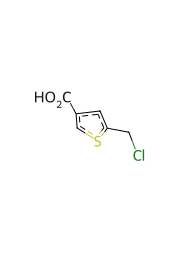 O=C(O)c1csc(CCl)c1